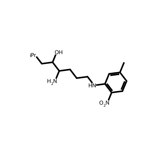 Cc1ccc([N+](=O)[O-])c(NCCCC(N)C(O)CC(C)C)c1